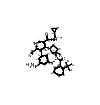 C[C@H](NC(=O)c1cnc(C#N)c(-c2cc(F)cc(F)c2)c1N1CCC(C)(OC(=O)c2ccccc2C(C)(C)C)C1)C1CC1.N